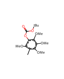 COc1c(C)c(OC)c(OC(=O)OC(C)(C)C)c(OC)c1OC